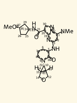 CNc1cc(Nc2cccn([C@@H]3[C@@H]4COC[C@@H]43)c2=O)nc2c(C(=O)N[C@@H]3CC[C@@H](OC)C3)cnn12